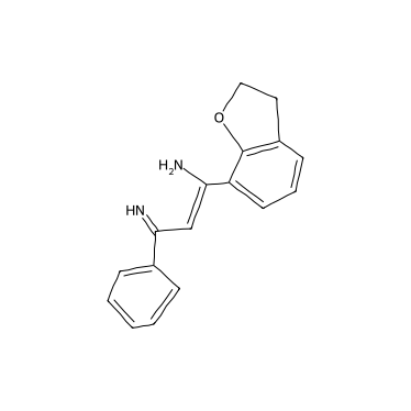 N=C(/C=C(\N)c1cccc2c1OCC2)c1ccccc1